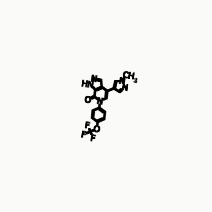 Cn1cc(-c2cn(-c3ccc(OC(F)(F)F)cc3)c(=O)c3[nH]ncc23)cn1